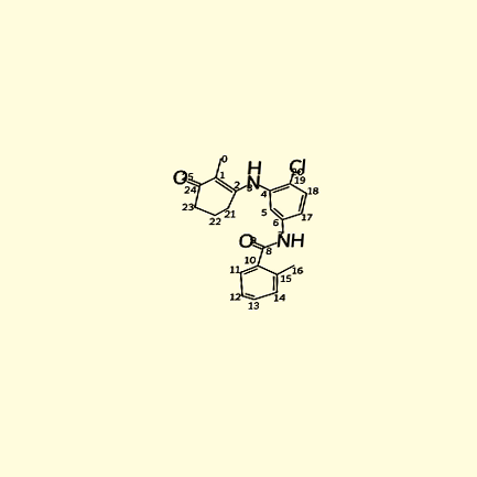 CC1=C(Nc2cc(NC(=O)c3ccccc3C)ccc2Cl)CCCC1=O